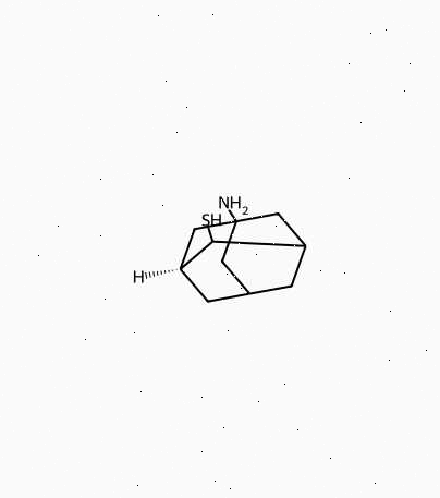 NC12CC3CC(C1)C(S)[C@@H](C3)C2